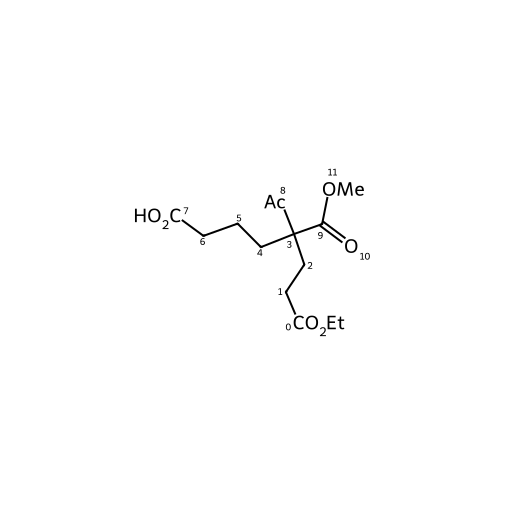 CCOC(=O)CCC(CCCC(=O)O)(C(C)=O)C(=O)OC